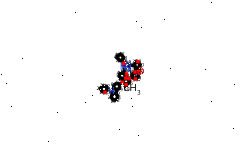 Cc1cc(-c2ccc3c(c2)c2ccccc2n3-c2ccccc2)c(C)cc1-c1ccc2oc3cccc(-c4nc(-c5ccccc5)nc(-c5ccccc5)n4)c3c2c1